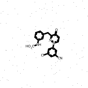 N#Cc1cc(Cl)cc(-n2ccc(=O)c(Cc3cccc(NC(=O)O)c3)n2)c1